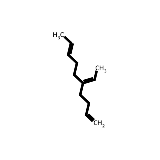 C=CCCC(=CC)CCC=CC